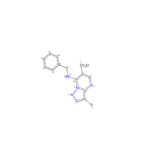 CCOC(=O)c1cnc2c(Br)cnn2c1NCc1ccccc1